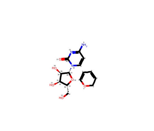 C1=CCOC=C1.Nc1ccn([C@@H]2O[C@H](CO)[C@@H](O)[C@H]2O)c(=O)n1